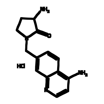 Cl.Nc1ccnc2cc(CN3CCC(N)C3=O)ccc12